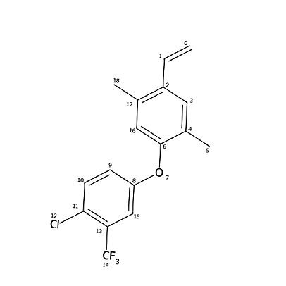 C=Cc1cc(C)c(Oc2ccc(Cl)c(C(F)(F)F)c2)cc1C